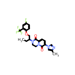 CCC(COc1ccc(F)cc1C(F)(F)F)N1CCn2c(ccc(-n3cnc(C)c3)c2=O)C1=O